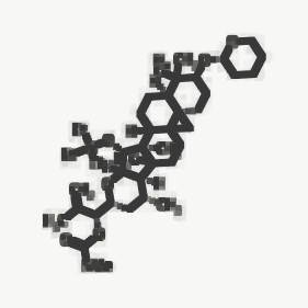 C=C(C)[C@@H](OC(=O)NC)[C@H]1C[C@@H](C)[C@H]2[C@H](O1)[C@H](O[Si](CC)(CC)CC)[C@@]1(C)[C@@H]3CC[C@H]4C(C)(C)[C@@H](O[C@H]5CCCCO5)CC[C@@]45CC35CC[C@]21C